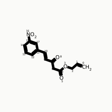 C=CCOC(=O)CC(=O)C=Cc1cccc([N+](=O)[O-])c1